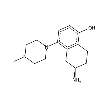 CN1CCN(c2ccc(O)c3c2C[C@H](N)CC3)CC1